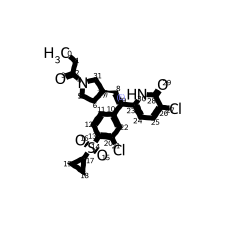 CCC(=O)N1CC[C@H](/C=C(\c2ccc(S(=O)(=O)C3CC3)c(Cl)c2)c2ccc(Cl)c(=O)[nH]2)C1